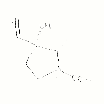 C=C[C@]1(O)CCN(C(=O)O)[C@H]1C